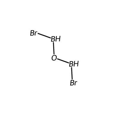 BrBOBBr